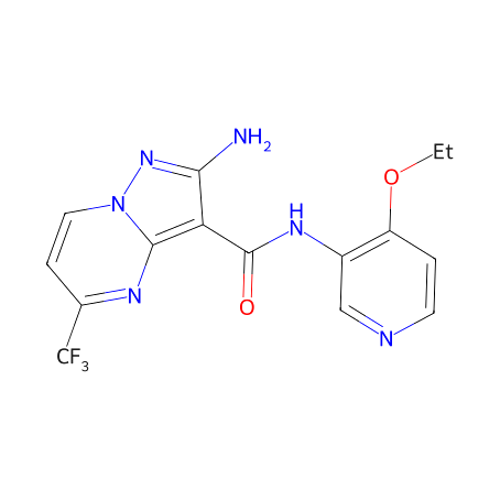 CCOc1ccncc1NC(=O)c1c(N)nn2ccc(C(F)(F)F)nc12